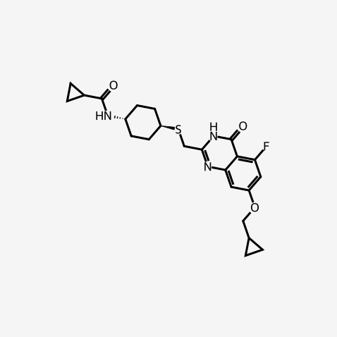 O=C(N[C@H]1CC[C@H](SCc2nc3cc(OCC4CC4)cc(F)c3c(=O)[nH]2)CC1)C1CC1